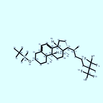 C[C@@H](CCCC(C)(C(F)(F)F)C(F)(F)F)[C@H]1CC[C@H]2C3=CC=C4C[C@@H](O[Si](C)(C)C(C)(C)C)CC[C@]4(C)[C@H]3CC[C@]12C